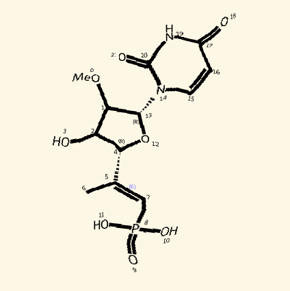 COC1C(O)[C@@H](/C(C)=C/P(=O)(O)O)O[C@H]1n1ccc(=O)[nH]c1=O